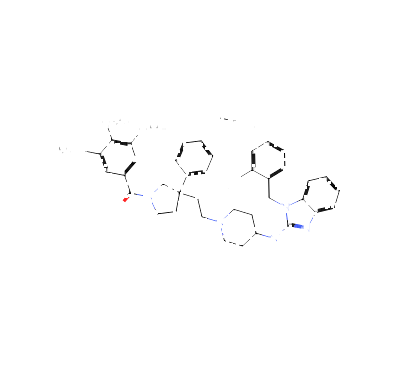 COc1cc(C(=O)N2CCC(CCN3CCC(Nc4nc5ccccc5n4Cc4ccccc4C(=O)O)CC3)(c3ccccc3)C2)cc(OC)c1OC.CS(=O)(=O)O